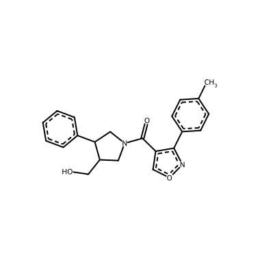 Cc1ccc(-c2nocc2C(=O)N2CC(CO)C(c3ccccc3)C2)cc1